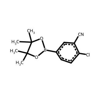 CC1(C)OB(c2ccc(Cl)c(C#N)c2)OC1(C)C